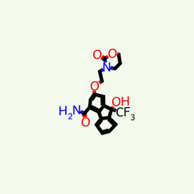 NC(=O)c1cc(OCCN2CCCOC2=O)cc2c1-c1ccccc1C2(O)C(F)(F)F